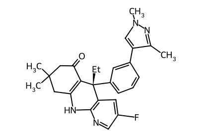 CC[C@]1(c2cccc(-c3cn(C)nc3C)c2)C2=C(CC(C)(C)CC2=O)Nc2ncc(F)cc21